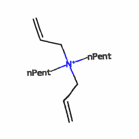 C=CC[N+](CC=C)(CCCCC)CCCCC